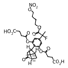 CC(F)(C(=O)OCCCCO[N+](=O)[O-])c1cc(OC(=O)CCC(=O)O)c([C@H]2CC(=O)[C@H]3C[C@@H]2C3(C)C)c(OC(=O)CCC(=O)O)c1